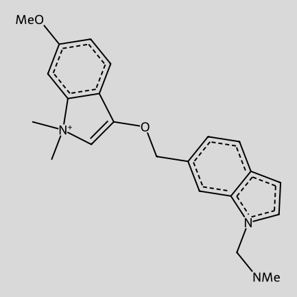 CNCn1ccc2ccc(COC3=C[N+](C)(C)c4cc(OC)ccc43)cc21